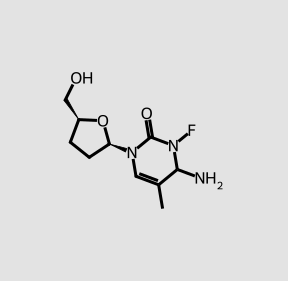 CC1=CN([C@H]2CC[C@@H](CO)O2)C(=O)N(F)C1N